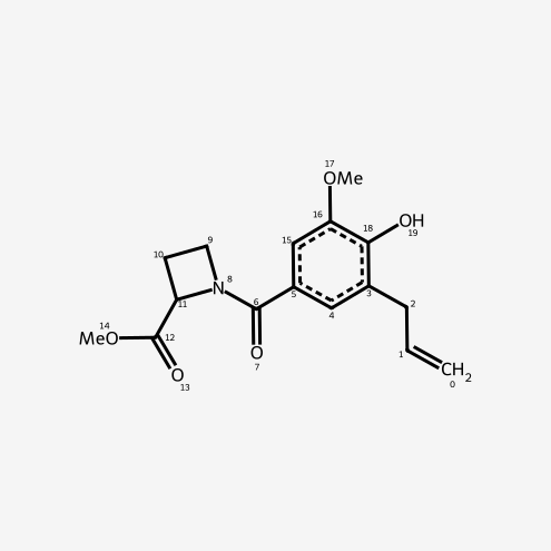 C=CCc1cc(C(=O)N2CCC2C(=O)OC)cc(OC)c1O